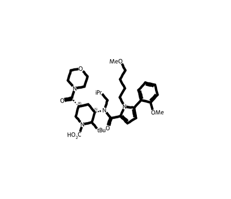 COCCCCn1c(C(=O)N(CC(C)C)[C@H]2C[C@@H](C(=O)N3CCOCC3)CN(C(=O)O)C2C(C)(C)C)ccc1-c1ccccc1OC